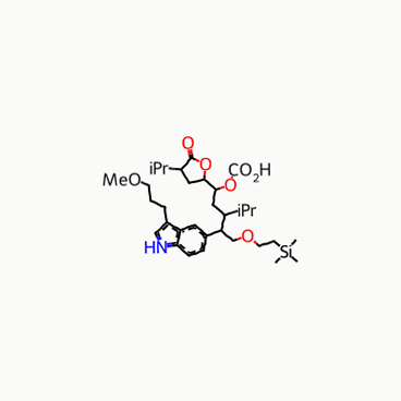 COCCCc1c[nH]c2ccc(C(COCC[Si](C)(C)C)C(CC(OC(=O)O)C3CC(C(C)C)C(=O)O3)C(C)C)cc12